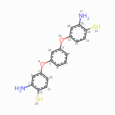 Nc1cc(Oc2cccc(Oc3ccc(S)c(N)c3)c2)ccc1S